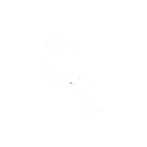 CCOC(=O)c1cc(Oc2ccc3c(c2)C[C@@H](N(C[C@H](O)c2cccc(Cl)c2)C(=O)OC(C)(C)C)CC3)ncc1Cl